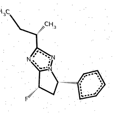 CC[C@H](C)c1nc2n(n1)[C@H](c1ccccc1)C[C@@H]2F